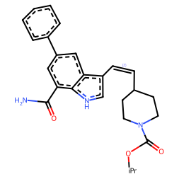 CC(C)OC(=O)N1CCC(/C=C\c2c[nH]c3c(C(N)=O)cc(-c4ccccc4)cc23)CC1